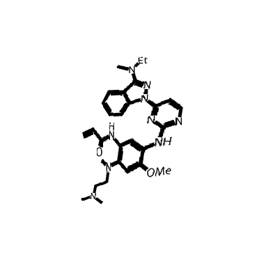 C=CC(=O)Nc1cc(Nc2nccc(-n3nc(N(C)CC)c4ccccc43)n2)c(OC)cc1N(C)CCN(C)C